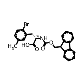 Cc1ccc(Br)c(C[C@H](NC(=O)OCC2c3ccccc3-c3ccccc32)C(=O)O)c1